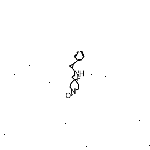 O=CN1CCC(F)(CNC2CC2c2ccccc2)CC1